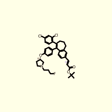 CC(C)(C)OC(=O)/C=C/c1ccc2c(c1)CCCC(c1ccc(Cl)cc1Cl)=C2c1ccc(O[C@H]2CCN(CCCF)C2)cc1